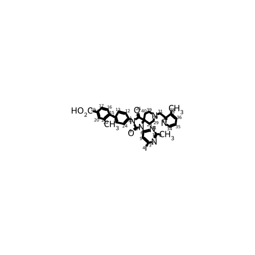 Cc1nc(I)cc(N2C(=O)N(c3ccc(-c4ccc(C(=O)O)cc4C)cc3)C(=O)C23CCN(Cc2ncccc2C)CC3)n1